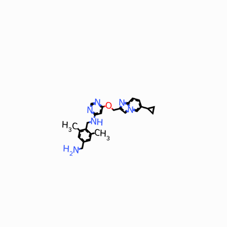 Cc1cc(CN)cc(C)c1CNc1cc(OCc2cn3cc(C4CC4)ccc3n2)ncn1